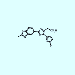 Cc1nc2cc(-c3nc(CC(=O)O)c(-c4ccc(Cl)s4)o3)ccc2s1